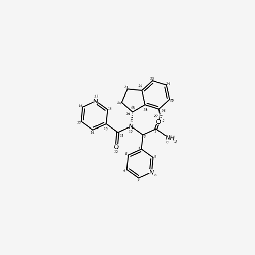 NC(=O)C(c1cccnc1)N(C(=O)c1cccnc1)[C@@H]1CCc2cccc(F)c21